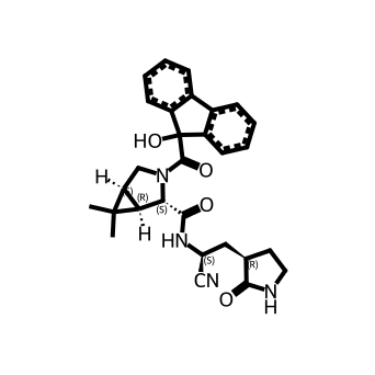 CC1(C)[C@@H]2[C@@H](C(=O)N[C@H](C#N)C[C@H]3CCNC3=O)N(C(=O)C3(O)c4ccccc4-c4ccccc43)C[C@@H]21